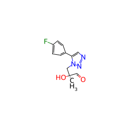 C[C@@](O)(C=O)Cn1nncc1-c1ccc(F)cc1